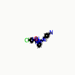 CN(CCn1c(=N)n(CC(=O)c2ccc(Cl)cc2)c2ccccc21)Cc1ccc(C#N)cc1